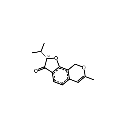 CC1=Cc2ccc3c(c2CO1)O[C@@H](C(C)C)C3=O